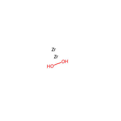 OO.[Zr].[Zr]